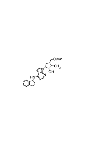 COC[C@@H]1C[C@@H](n2ccc3c(NC4CCc5ccccc54)ncnc32)[C@@H](O)C1C